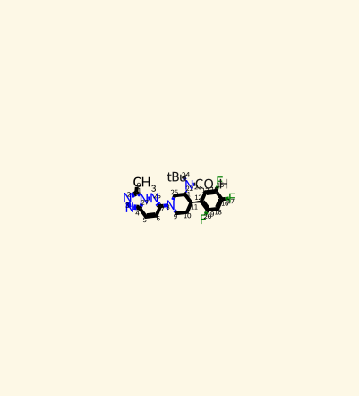 Cc1nnc2ccc(N3CC[C@H](c4cc(F)c(F)cc4F)[C@@H](N(C(=O)O)C(C)(C)C)C3)nn12